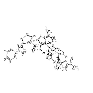 C=C(C)[C@@H]1CC[C@]2(C(=O)N3CCC[C@@H]3c3nc(-c4ccccc4)no3)CC[C@]3(C)C(CCC4[C@@]5(C)CC[C@H](OC(C)=O)C(C)(C)[C@@H]5CC[C@]43C)[C@@H]12